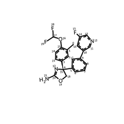 Cc1cc([C@@]2(c3cccc(-c4cncc(F)c4)c3)COC(N)=N2)ccc1OC(F)F